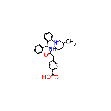 CC1CCCN(c2ccccc2C(NC(=O)Cc2ccc(C(=O)O)cc2)c2ccccc2)C1